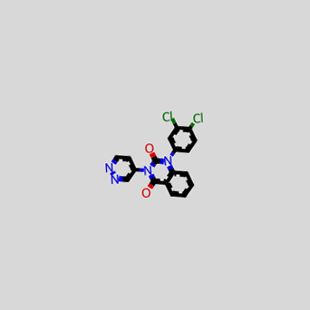 O=c1c2ccccc2n(-c2ccc(Cl)c(Cl)c2)c(=O)n1-c1ccnnc1